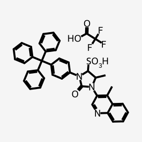 Cc1c(N2C(=O)N(c3ccc(C(c4ccccc4)(c4ccccc4)c4ccccc4)cc3)C(S(=O)(=O)O)C2C)cnc2ccccc12.O=C(O)C(F)(F)F